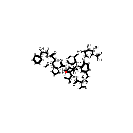 CC[C@H](C)[C@@H]([C@H](CC(=O)N1CCC[C@H]1[C@H](OC)[C@@H](C)C(=O)N[C@H](C)[C@H](O)c1ccccc1)OC)N(C)C(=O)[C@@H](NC(=O)[C@H](C(C)C)[N+](C)(C)Cc1ccc(O[C@@H]2O[C@H](C(=O)O)[C@@H](O)[C@@H](O)[C@@H]2O)c(NC(=O)CCN)c1)C(C)C